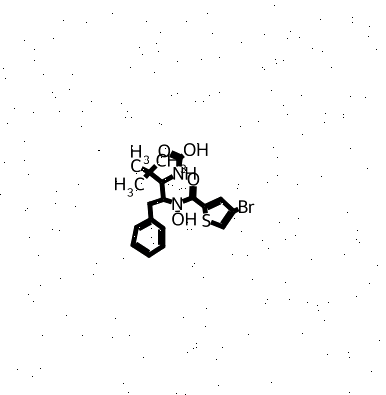 CC(C)(C)C(NC(=O)O)C(Cc1ccccc1)N(O)C(=O)c1cc(Br)cs1